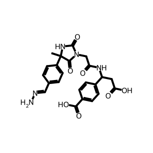 CC1(c2ccc(C=NN)cc2)NC(=O)N(CC(=O)NC(CC(=O)O)c2ccc(C(=O)O)cc2)C1=O